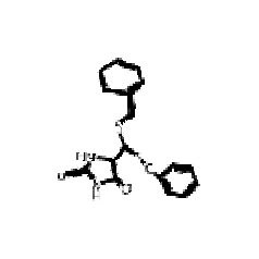 O=C1NC(=O)C(C(SCc2ccccc2)SCc2ccccc2)N1